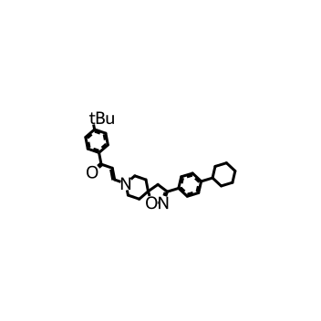 CC(C)(C)c1ccc(C(=O)C=CN2CCC3(CC2)CC(c2ccc(C4CCCCC4)cc2)=NO3)cc1